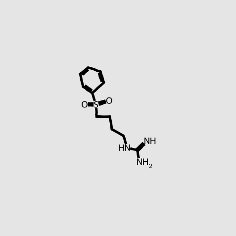 N=C(N)NCCCCS(=O)(=O)c1ccccc1